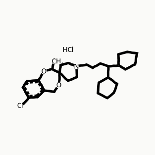 CC1Oc2ccc(Cl)cc2COC12CCN(CCCC(C1CCCCC1)C1CCCCC1)CC2.Cl